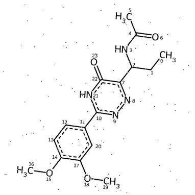 CCC(NC(C)=O)c1nnc(-c2ccc(OC)c(OC)c2)[nH]c1=O